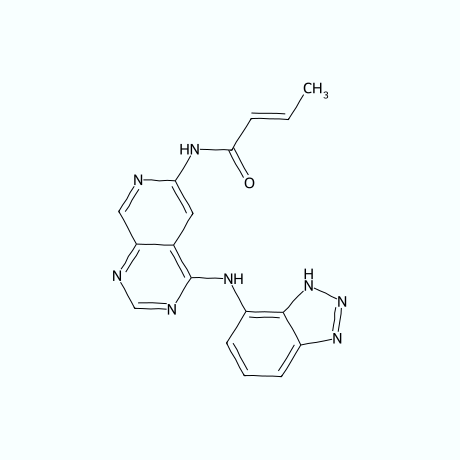 CC=CC(=O)Nc1cc2c(Nc3cccc4nn[nH]c34)ncnc2cn1